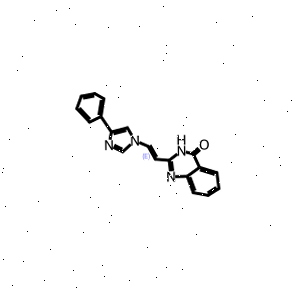 O=c1[nH]c(/C=C/n2cnc(-c3ccccc3)c2)nc2ccccc12